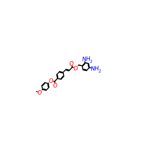 COc1ccc(OC(=O)c2ccc(/C=C/C(=O)OCc3ccc(N)cc3N)cc2)cc1